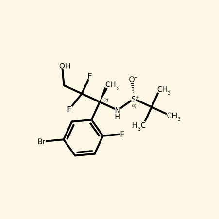 CC(C)(C)[S@@+]([O-])N[C@](C)(c1cc(Br)ccc1F)C(F)(F)CO